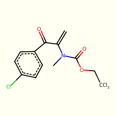 C=C(C(=O)c1ccc(Cl)cc1)N(C)C(=O)OCC(Cl)(Cl)Cl